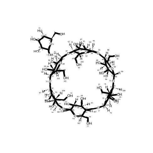 OC[C@H]1OC(O)[C@H](O)[C@@H](O)[C@@H]1O.OC[C@H]1O[C@@H]2O[C@H]3[C@H](O)[C@@H](O)[C@@H](O[C@H]4[C@H](O)[C@@H](O)[C@@H](O[C@H]5[C@H](O)[C@@H](O)[C@@H](O[C@H]6[C@H](O)[C@@H](O)[C@@H](O[C@H]7[C@H](O)[C@@H](O)[C@@H](O[C@H]1[C@H](O)[C@H]2O)O[C@@H]7CO)O[C@@H]6CO)O[C@@H]5CO)O[C@@H]4CO)O[C@@H]3CO